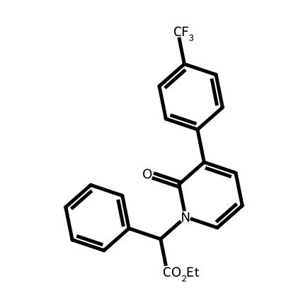 CCOC(=O)C(c1ccccc1)n1cccc(-c2ccc(C(F)(F)F)cc2)c1=O